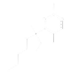 CCCCCC(C)(CC)c1nc(C)ncc1F